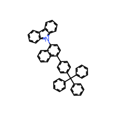 c1ccc(C(c2ccccc2)(c2ccccc2)c2ccc(-c3ccc(-n4c5ccccc5c5ccccc54)c4ccccc34)cc2)cc1